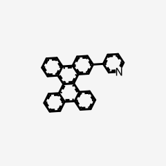 c1cncc(-c2ccc3c4ccccc4c4c5ccccc5c5ccccc5c4c3c2)c1